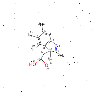 [2H]C1=Nc2cc([2H])c([2H])c([2H])c2C1([2H])CC(=O)O